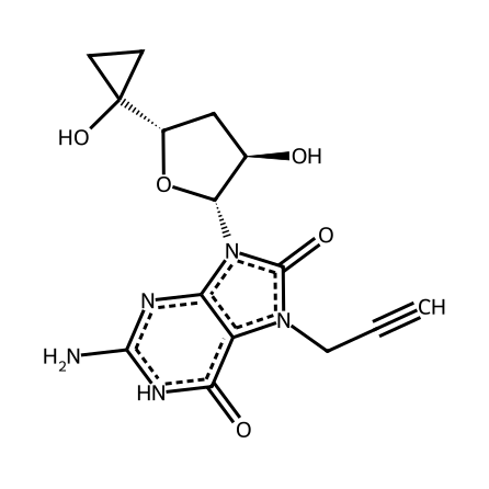 C#CCn1c(=O)n([C@@H]2O[C@H](C3(O)CC3)C[C@H]2O)c2nc(N)[nH]c(=O)c21